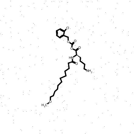 COCCCCCCCCCCCC(=O)N[C@H](CCCCN)C(=O)OC(=O)OCc1ccccc1Cl